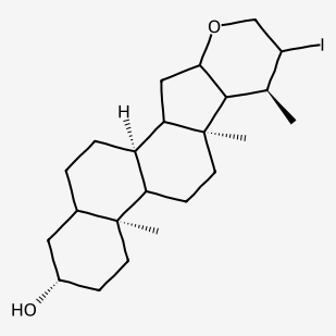 C[C@@H]1C(I)COC2CC3[C@@H]4CCC5C[C@@H](O)CC[C@]5(C)C4CC[C@]3(C)C21